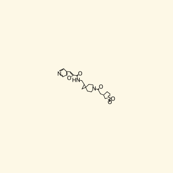 O=C(NCC1CC12CCN(C(=O)CC1CCS(=O)(=O)C1)CC2)c1cc2ccncc2o1